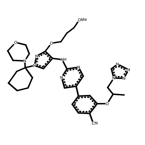 COCCCOc1nn(C2(N3CCOCC3)CCCCC2)cc1Nc1ncc(-c2ccc(C#N)c(OC(C)Cn3cnnn3)c2)cn1